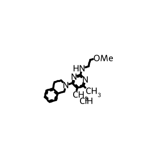 COCCNc1nc(C)c(C)c(N2CCc3ccccc3C2)n1.Cl